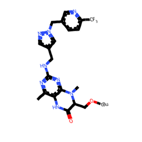 Cc1nc(NCc2cnn(Cc3ccc(C(F)(F)F)nc3)c2)nc2c1NC(=O)C(COC(C)(C)C)N2C